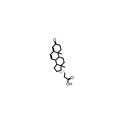 CC12CCC(=O)C=C1C=CC1C2CCC2(C)C1CC[C@H]2CCC(=O)O